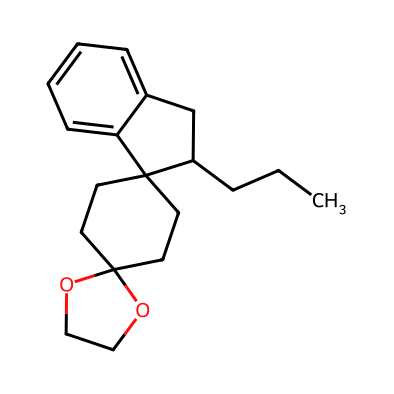 CCCC1Cc2ccccc2C12CCC1(CC2)OCCO1